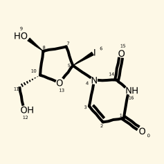 O=c1ccn([C@@]2(I)C[C@H](O)[C@@H](CO)O2)c(=O)[nH]1